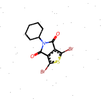 O=C1c2c(Br)sc(Br)c2C(=O)N1C1CCCCC1